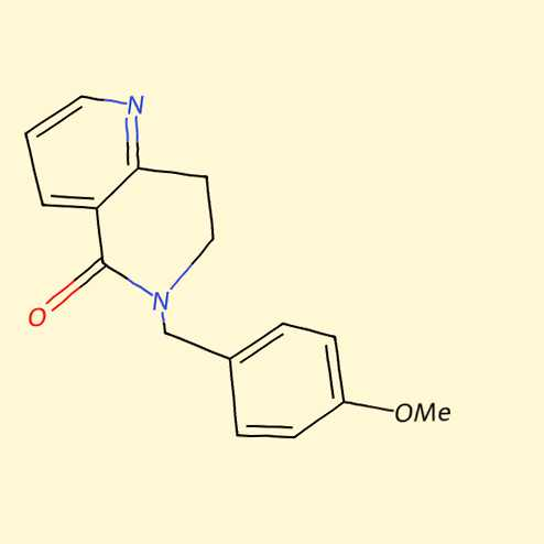 COc1ccc(CN2CCc3ncccc3C2=O)cc1